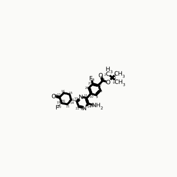 CC(C)(C)OC(=O)c1ccc(-c2nc([C@H]3CCC(=O)[C@@H](F)C3)cnc2N)cc1F